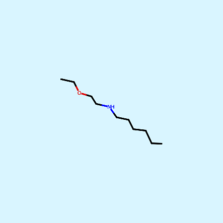 CCCCCCNCCOCC